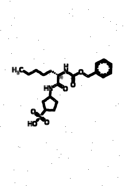 CCCCC[C@H](NC(=O)OCc1ccccc1)C(=O)NC1CCC(S(=O)(=O)O)C1